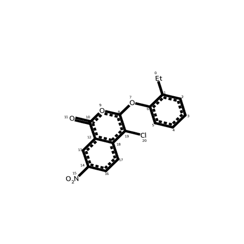 CCc1ccccc1Oc1oc(=O)c2cc([N+](=O)[O-])ccc2c1Cl